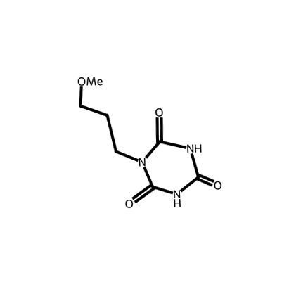 COCCCn1c(=O)[nH]c(=O)[nH]c1=O